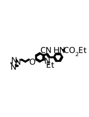 CCOC(=O)Nc1cccc(-c2c(C#N)c3ccc(OCCCn4cncn4)cc3n2CC)c1